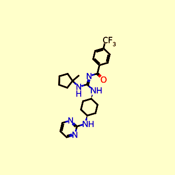 CC1(N/C(=N/C(=O)c2ccc(C(F)(F)F)cc2)N[C@H]2CC[C@H](Nc3ncccn3)CC2)CCCC1